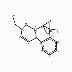 CCC1C=CC2c3ccccc3C3(C)CC3(C)N2C1